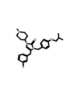 CC(C)COc1ccc(Cn2c(Cc3cccc(F)c3)cn(C3CCN(C)CC3)c2=O)cc1